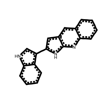 c1ccc2nc3[nH]c(-c4c[nH]c5ccccc45)cc3cc2c1